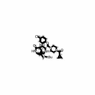 CC(C)(C)C[C@H]1N[C@@H](C(=O)N2CCN(C(=O)C3CC3)CC2)[C@H](c2cccc(Cl)c2)[C@@H]2C(=O)NC3=CC(F)=C(F)C2C31